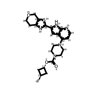 O=C(O[C@H]1C[C@H](F)C1)N1CCN(c2ccnc3[nH]c(-c4nc5c(s4)COCC5)cc23)CC1